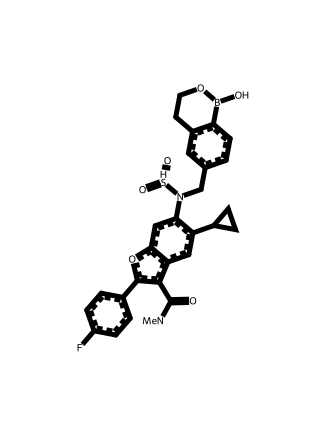 CNC(=O)c1c(-c2ccc(F)cc2)oc2cc(N(Cc3ccc4c(c3)CCOB4O)[SH](=O)=O)c(C3CC3)cc12